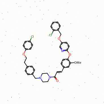 COc1cc(/C=C/C(=O)N2CCN(Cc3ccc(CCOc4ccc(Cl)cc4)cc3)CC2)ccc1Oc1ccc(OCc2ccccc2Cl)cn1